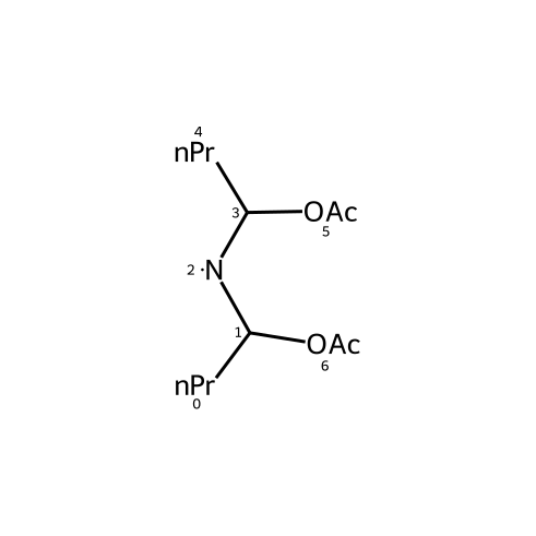 CCCC([N]C(CCC)OC(C)=O)OC(C)=O